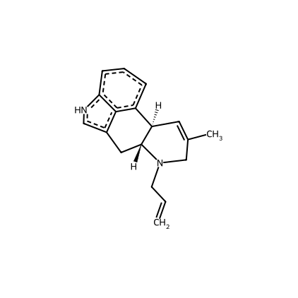 C=CCN1CC(C)=C[C@@H]2c3cccc4[nH]cc(c34)C[C@H]21